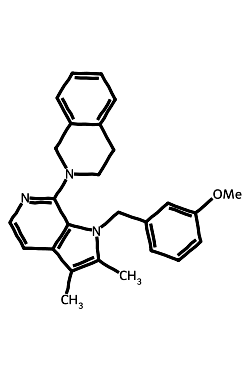 COc1cccc(Cn2c(C)c(C)c3ccnc(N4CCc5ccccc5C4)c32)c1